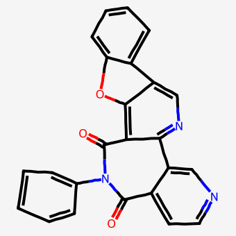 O=c1c2ccncc2c2ncc3c4ccccc4oc3c2c(=O)n1-c1ccccc1